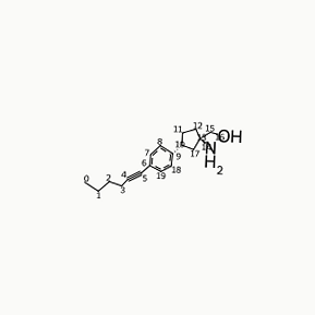 CCCCC#Cc1ccc([C@@H]2CC[C@](N)(CO)C2)cc1